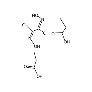 CCC(=O)O.CCC(=O)O.O/N=C(Cl)\C(Cl)=N/O